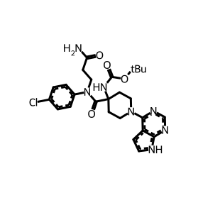 CC(C)(C)OC(=O)NC1(C(=O)N(CCC(N)=O)c2ccc(Cl)cc2)CCN(c2ncnc3[nH]ccc23)CC1